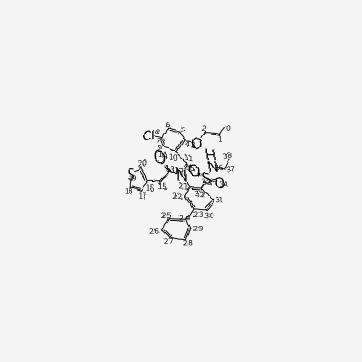 CCCOc1ccc(Cl)cc1CN(C(=O)Cc1ccsc1)c1cc(-c2ccccc2)ccc1S(=O)(=O)NCC